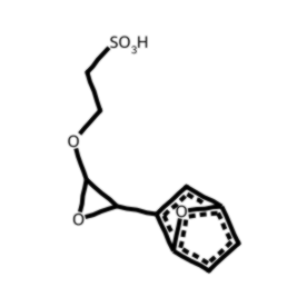 O=S(=O)(O)CCOC1OC1c1cc2ccc1o2